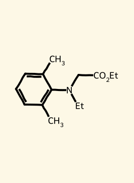 CCOC(=O)CN(CC)c1c(C)cccc1C